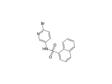 O=S(=O)(Nc1ccc(Br)nc1)c1cccc2ccccc12